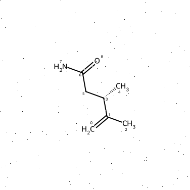 C=C(C)[C@@H](C)CC(N)=O